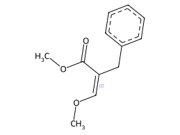 CO/C=C(/Cc1ccccc1)C(=O)OC